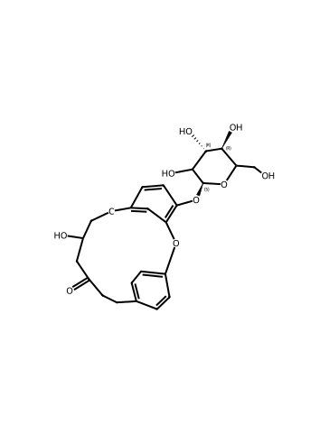 O=C1CCc2ccc(cc2)Oc2cc(ccc2O[C@@H]2OC(CO)[C@H](O)[C@@H](O)C2O)CCC(O)C1